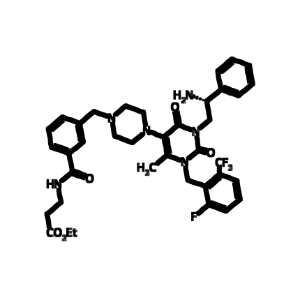 CCOC(=O)CCNC(=O)c1cccc(CN2CCN(c3c(C)n(Cc4c(F)cccc4C(F)(F)F)c(=O)n(C[C@H](N)c4ccccc4)c3=O)CC2)c1